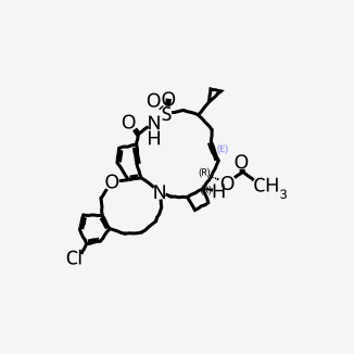 CC(=O)O[C@H]1/C=C/CC(C2CC2)CS(=O)(=O)NC(=O)c2ccc3c(c2)N(CCCCc2cc(Cl)ccc2CO3)CC2CC[C@H]21